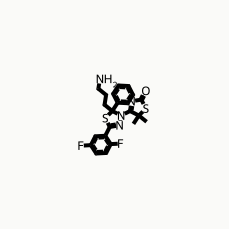 CC1(C)SC(=O)N=C1N1N=C(c2cc(F)ccc2F)SC1(CCCN)c1ccccc1